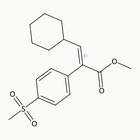 COC(=O)/C(=C/C1CCCCC1)c1ccc(S(C)(=O)=O)cc1